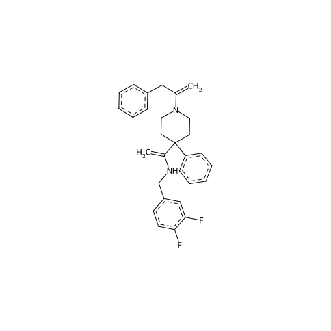 C=C(Cc1ccccc1)N1CCC(C(=C)NCc2ccc(F)c(F)c2)(c2ccccc2)CC1